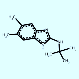 Cc1cc2nc(NC(C)(C)C)[nH]c2cc1C